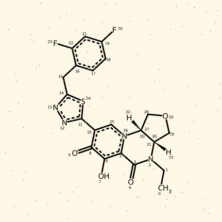 CCN1C(=O)c2c(O)c(=O)c(-c3nnc(Cc4ccc(F)cc4F)s3)cn2[C@@H]2COC[C@@H]21